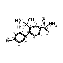 [CH2]C(C)(C)c1cc(S(N)(=O)=O)ccc1-c1ccc(Br)cc1